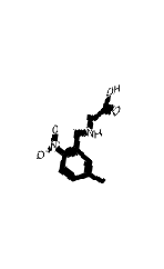 Cc1ccc([N+](=O)[O-])c(CNCC(=O)O)c1